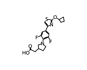 O=C(O)CC1CCN(c2c(F)cc(-c3csc(OC4CCC4)n3)cc2F)C1